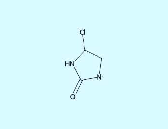 O=C1[N]CC(Cl)N1